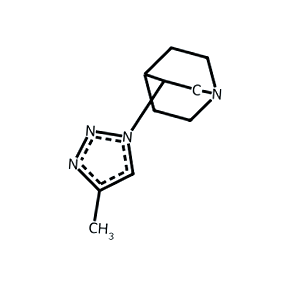 Cc1cn(C2CN3CCC2CC3)nn1